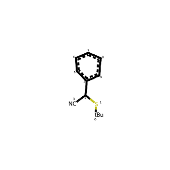 CC(C)(C)SC(C#N)c1ccccc1